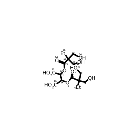 CCC(CO)(CO)C(=O)OC(C(=O)O)C(OC(=O)C(CC)(CO)CO)C(=O)O